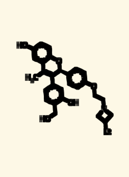 CCC1CN(CCOc2ccc([C@@H]3Oc4ccc(O)cc4C(C)=C3c3ccc(CO)c(O)c3)cc2)C1